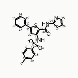 Cc1ccc(S(=O)(=O)Nc2cc(-c3ccccc3)sc2C(=O)Nc2nccs2)cc1